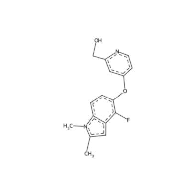 Cc1cc2c(F)c(Oc3ccnc(CO)c3)ccc2n1C